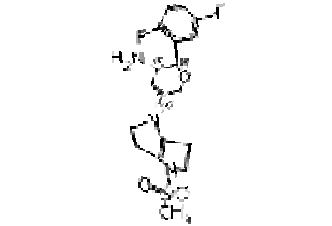 CS(=O)(=O)N1CCC2=C1CCN2[C@H]1CO[C@H](c2cc(F)ccc2F)[C@@H](N)C1